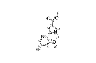 COC(=O)c1cc(-c2ncc(F)cc2OC)n(C)c1